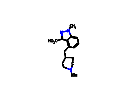 CCCCN1CCC(Cc2cccc3c2c(C(=O)O)nn3C)CC1